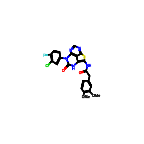 COc1ccc(CC(=O)Nc2sc3ncnc4c3c2NC(=O)N4c2ccc(F)c(Cl)c2)cc1OC